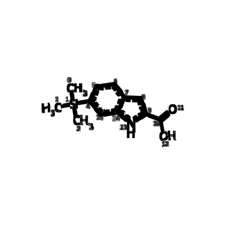 C[Si](C)(C)c1ccc2cc(C(=O)O)[nH]c2c1